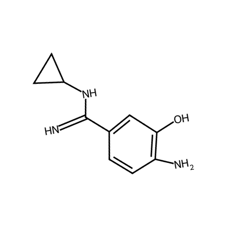 N=C(NC1CC1)c1ccc(N)c(O)c1